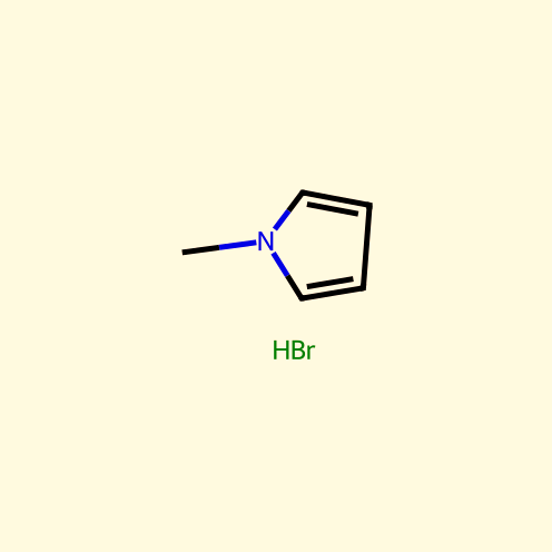 Br.Cn1cccc1